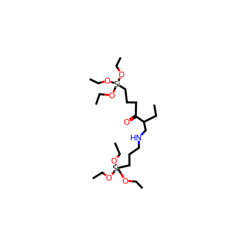 CCO[Si](CCCNCC(CC)C(=O)CCC[Si](OCC)(OCC)OCC)(OCC)OCC